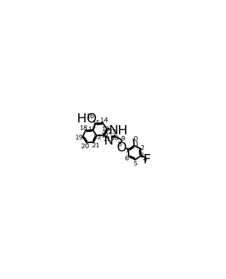 Cc1cc(F)ccc1OCc1nc2c(cc(O)c3ccccc32)[nH]1